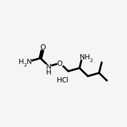 CC(C)CC(N)CONC(N)=O.Cl